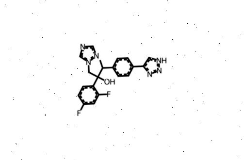 CC(c1ccc(-c2c[nH]nn2)cc1)C(O)(Cn1cncn1)c1ccc(F)cc1F